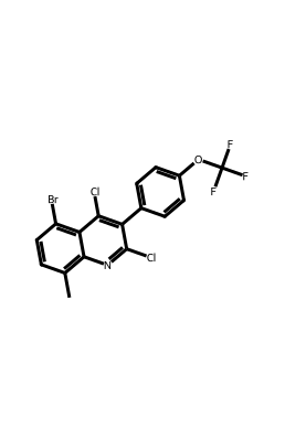 Cc1ccc(Br)c2c(Cl)c(-c3ccc(OC(F)(F)F)cc3)c(Cl)nc12